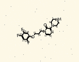 O=c1c(N2CCNCC2)nccn1CCCOc1cc(F)c(F)cc1F